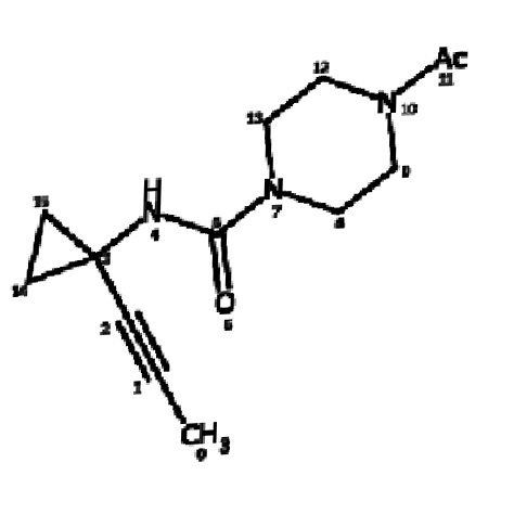 CC#CC1(NC(=O)N2CCN(C(C)=O)CC2)CC1